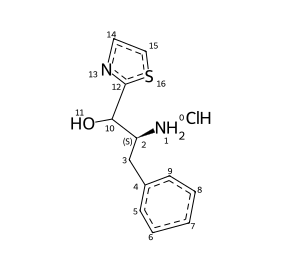 Cl.N[C@@H](Cc1ccccc1)C(O)c1nccs1